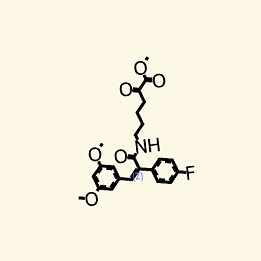 COC(=O)C(=O)CCCCNC(=O)/C(=C\c1cc(OC)cc(OC)c1)c1ccc(F)cc1